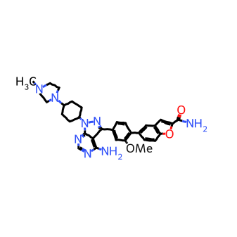 COc1cc(-c2nn(C3CCC(N4CCN(C)CC4)CC3)c3ncnc(N)c23)ccc1-c1ccc2oc(C(N)=O)cc2c1